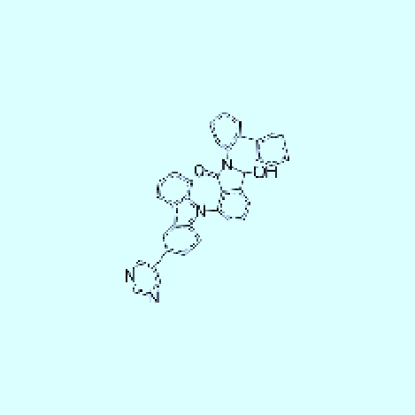 O=C1c2c(cccc2-n2c3ccccc3c3cc(-c4cncnc4)ccc32)C(O)N1c1ccccc1-c1ccccc1